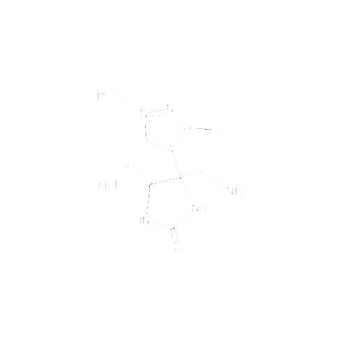 Cc1nn(C)cc1C1(CN)NC(=O)NC1=O.Cl